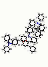 c1ccc(-c2ccccc2-c2ccccc2N(c2ccc(-c3ccc4c(c3)c3ccccc3n4-c3ccccc3)cc2)c2cccc3c2-c2ccccc2C32c3ccccc3N(c3ccccc3)c3ccccc32)cc1